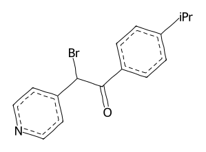 CC(C)c1ccc(C(=O)C(Br)c2ccncc2)cc1